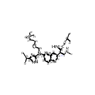 CN/C=C(\C(=N)COC(C)C)c1cnc2ccc(N(COCC[Si](C)(C)C)c3nnc(C(C)C)s3)nc2c1